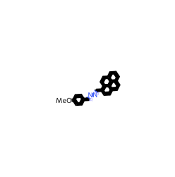 COc1ccc(/C=N/N=C/c2ccc3ccc4cccc5ccc2c3c45)cc1